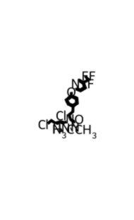 CN(C)C(=O)N(CCc1ccc(Oc2ccc(C(F)(F)F)cn2)cc1)c1ncnc(CCl)c1Cl